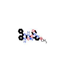 COc1ccc(-c2nnc(N[C@H]3N=C(c4ccccc4)c4ccccc4NC3=O)o2)c(N2CCOCC2)n1